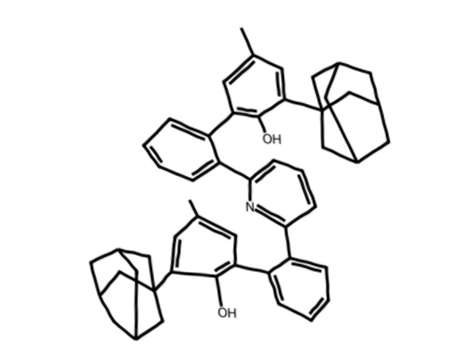 Cc1cc(-c2ccccc2-c2cccc(-c3ccccc3-c3cc(C)cc(C45CC6CC(CC(C6)C4)C5)c3O)n2)c(O)c(C23CC4CC(CC(C4)C2)C3)c1